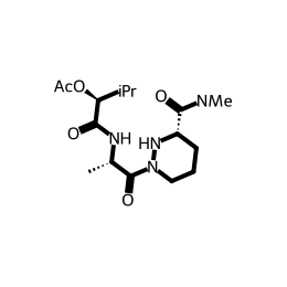 CNC(=O)[C@@H]1CCCN(C(=O)[C@H](C)NC(=O)[C@@H](OC(C)=O)C(C)C)N1